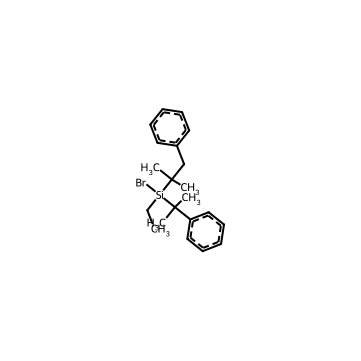 CC[Si](Br)(C(C)(C)Cc1ccccc1)C(C)(C)c1ccccc1